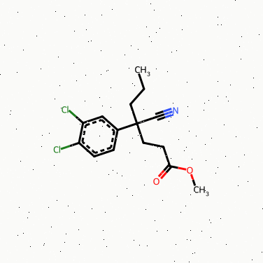 CCCC(C#N)(CCC(=O)OC)c1ccc(Cl)c(Cl)c1